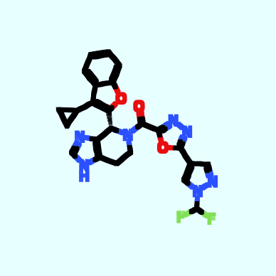 O=C(c1nnc(-c2cnn(C(F)F)c2)o1)N1CCc2[nH]cnc2[C@@H]1c1oc2ccccc2c1C1CC1